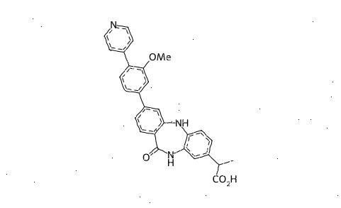 COc1cc(-c2ccc3c(c2)Nc2ccc(C(C)C(=O)O)cc2NC3=O)ccc1-c1ccncc1